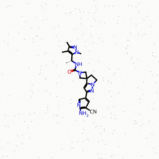 Cc1nn(C)c([C@@H](C)NC(=O)N2CC3(CCn4nc(-c5cnc(N)c(C#N)c5)cc43)C2)c1C